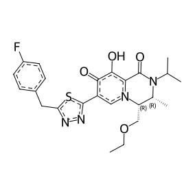 CCOC[C@H]1[C@@H](C)N(C(C)C)C(=O)c2c(O)c(=O)c(-c3nnc(Cc4ccc(F)cc4)s3)cn21